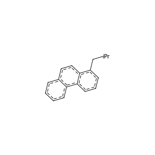 CC(C)Cc1cccc2c1ccc1ccccc12